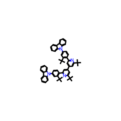 CC(C)(C)c1cc(-c2cc(-c3ccc(-n4c5ccccc5c5ccccc54)cc3C(C)(C)C)nc(C(C)(C)C)c2)cc(-c2ccc(-n3c4ccccc4c4ccccc43)cc2C(C)(C)C)n1